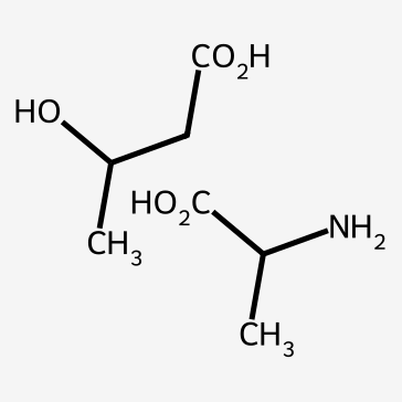 CC(N)C(=O)O.CC(O)CC(=O)O